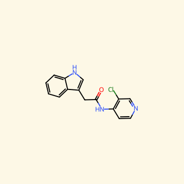 O=C(Cc1c[nH]c2ccccc12)Nc1ccncc1Cl